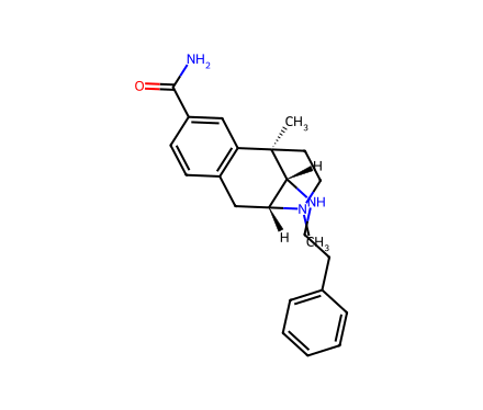 CN1CC[C@]2(C)c3cc(C(N)=O)ccc3C[C@@H]1[C@H]2NCCc1ccccc1